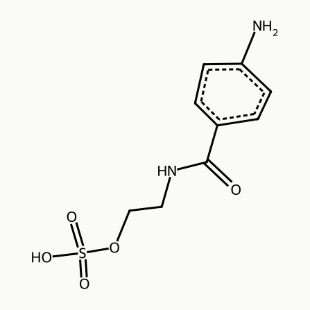 Nc1ccc(C(=O)NCCOS(=O)(=O)O)cc1